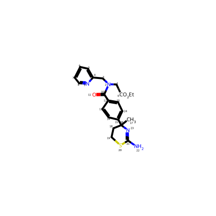 CCOC(=O)CN(Cc1ccccn1)C(=O)c1ccc(C2(C)CCSC(N)=N2)cc1